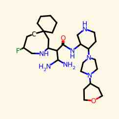 NC(N)C(C(=O)NC1CNCCC1N1CCN(C2CCOCC2)CC1)C1CC2(CCCCC2)CCC(F)CN1